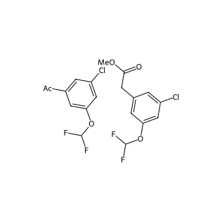 CC(=O)c1cc(Cl)cc(OC(F)F)c1.COC(=O)Cc1cc(Cl)cc(OC(F)F)c1